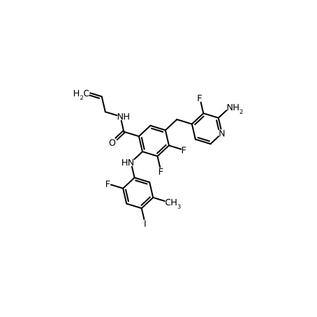 C=CCNC(=O)c1cc(Cc2ccnc(N)c2F)c(F)c(F)c1Nc1cc(C)c(I)cc1F